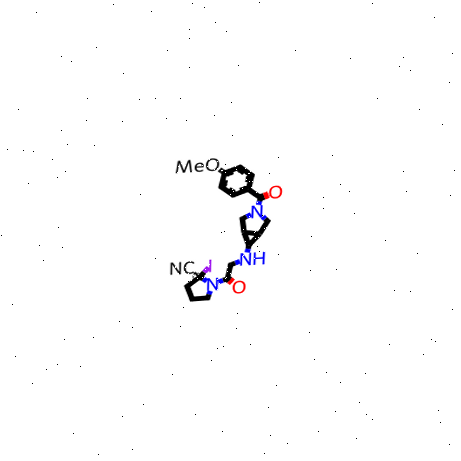 COc1ccc(C(=O)N2CC3C(C2)C3NCC(=O)N2CCC[C@]2(I)C#N)cc1